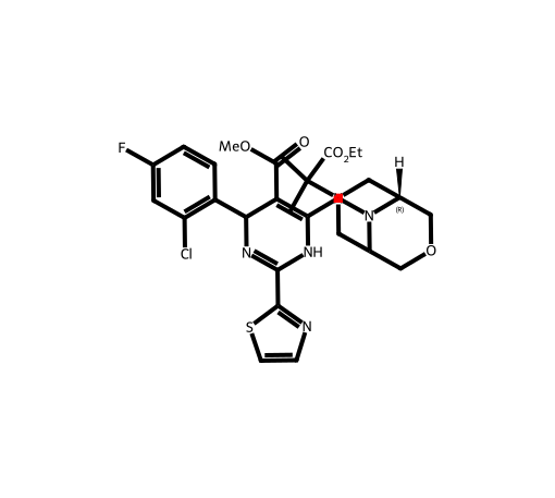 CCOC(=O)C(C)(C)N1CC2COC[C@@H](C1)N2CC1=C(C(=O)OC)C(c2ccc(F)cc2Cl)N=C(c2nccs2)N1